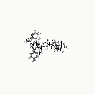 CC(C)(C)OC(=O)N1CC[C@H](Nc2nc(-c3ccccc3O)ncc2-c2ccccc2)C1